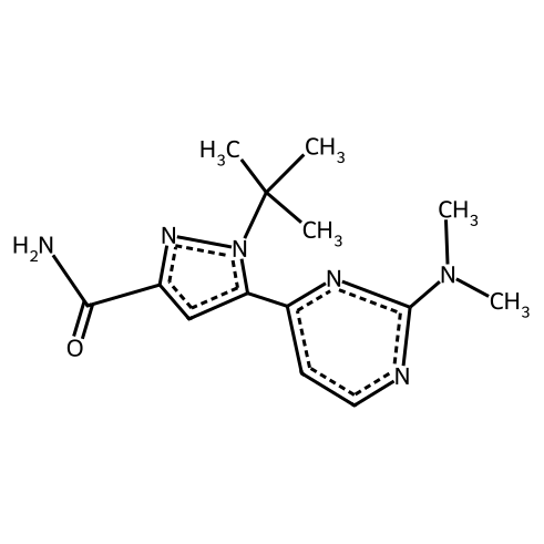 CN(C)c1nccc(-c2cc(C(N)=O)nn2C(C)(C)C)n1